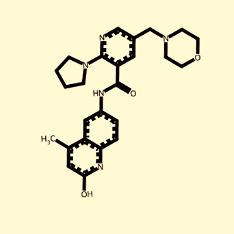 Cc1cc(O)nc2ccc(NC(=O)c3cc(CN4CCOCC4)cnc3N3CCCC3)cc12